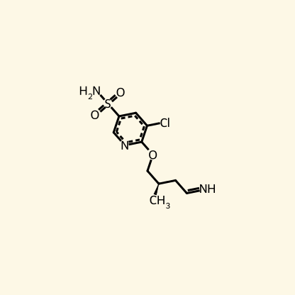 C[C@H](CC=N)COc1ncc(S(N)(=O)=O)cc1Cl